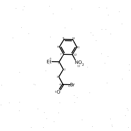 CCC(CCC(=O)Br)c1ccccc1[N+](=O)[O-]